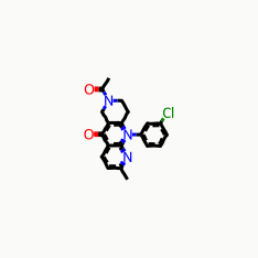 CC(=O)N1CCc2c(c(=O)c3ccc(C)nc3n2-c2cccc(Cl)c2)C1